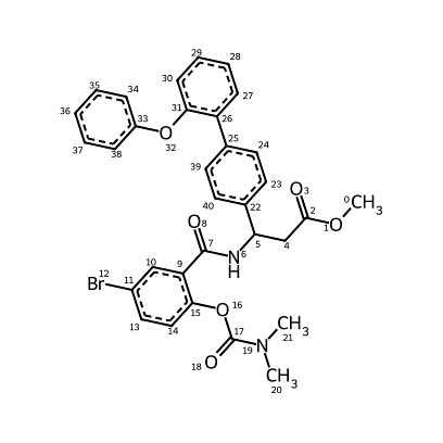 COC(=O)CC(NC(=O)c1cc(Br)ccc1OC(=O)N(C)C)c1ccc(-c2ccccc2Oc2ccccc2)cc1